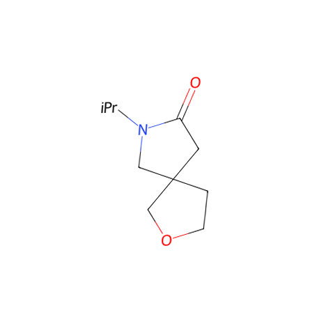 CC(C)N1CC2(CCOC2)CC1=O